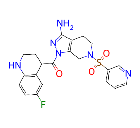 Nc1nn(C(=O)C2CCNc3ccc(F)cc32)c2c1CCN(S(=O)(=O)c1cccnc1)C2